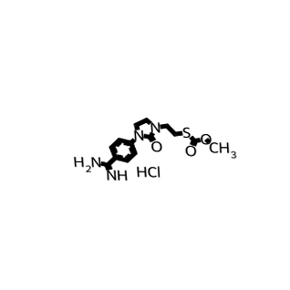 COC(=O)SCCN1CCN(c2ccc(C(=N)N)cc2)C1=O.Cl